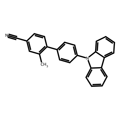 Cc1cc(C#N)ccc1-c1ccc(-n2c3ccccc3c3ccccc32)cc1